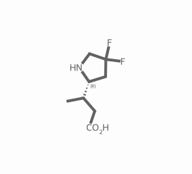 CC(CC(=O)O)[C@H]1CC(F)(F)CN1